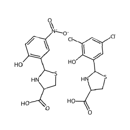 O=C(O)C1CSC(c2cc(Cl)cc(Cl)c2O)N1.O=C(O)C1CSC(c2cc([N+](=O)[O-])ccc2O)N1